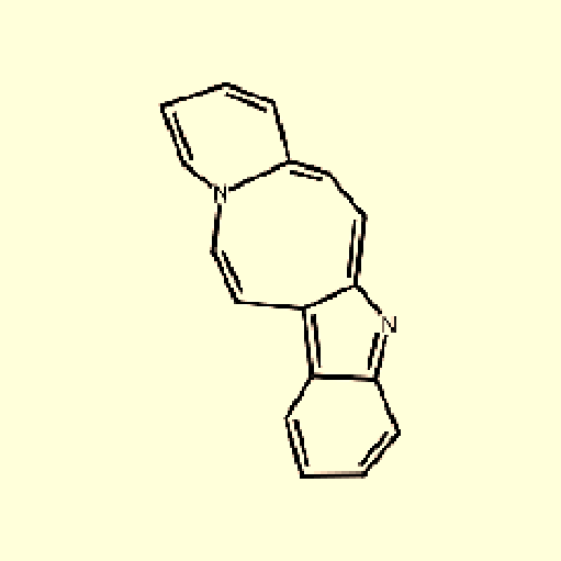 C1=C/C2=C/C=C3/N=c4ccccc4=C3/C=C\N2C=C1